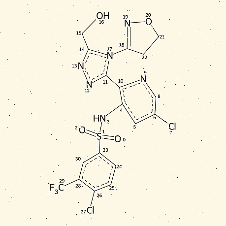 O=S(=O)(Nc1cc(Cl)cnc1-c1nnc(CO)n1C1=NOCC1)c1ccc(Cl)c(C(F)(F)F)c1